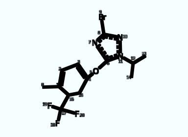 CC1=CC=C(Oc2nc(Br)nn2C(C)C)CC1C(F)(F)F